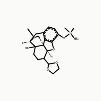 CN1CC[C@]23c4c5ccc(O[Si](C)(C)C(C)(C)C)c4O[C@H]2C(C2OCCO2)CCC3(O)[C@H]1C5